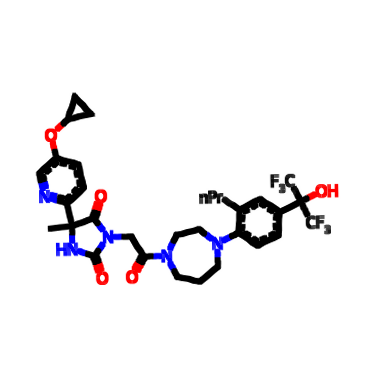 CCCc1cc(C(O)(C(F)(F)F)C(F)(F)F)ccc1N1CCCN(C(=O)CN2C(=O)NC(C)(c3ccc(OC4CC4)cn3)C2=O)CC1